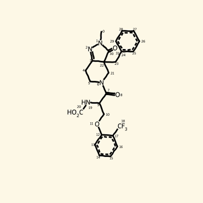 CN1N=C2CCN(C(=O)C(COc3ccccc3C(F)(F)F)NC(=O)O)CC2(Cc2ccccc2)C1=O